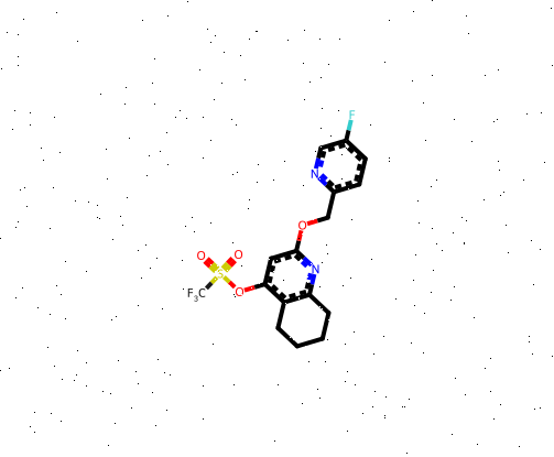 O=S(=O)(Oc1cc(OCc2ccc(F)cn2)nc2c1CCCC2)C(F)(F)F